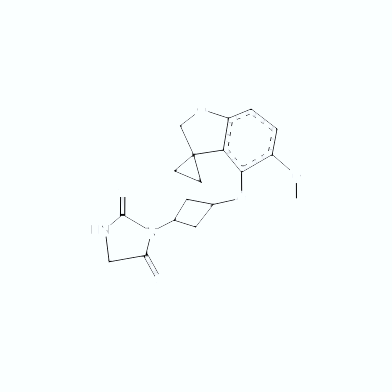 COc1ccc2c(c1OC1CC(N3C(=O)CNC3=O)C1)C1(CC1)CO2